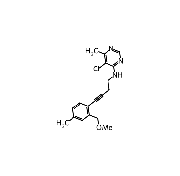 COCc1cc(C)ccc1C#CCCNc1ncnc(C)c1Cl